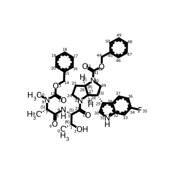 C[C@@H](O)[C@H](NC(=O)[C@H](C)N(C)C(=O)OCc1ccccc1)C(=O)N1CC[C@@H]2[C@H]1[C@@H](c1c[nH]c3cc(F)ccc13)CN2C(=O)OCc1ccccc1